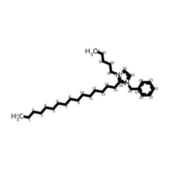 CCCCCCCCCCCCCCCCc1n(Cc2ccccc2)cc[n+]1CCCCC